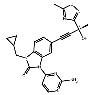 Cc1nc([C@](C)(O)C#Cc2ccc3c(c2)n(-c2ccnc(N)n2)c(=O)n3CC2CC2)no1